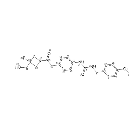 COc1ccc(CNC(=O)Nc2ccc(CC(=O)N3CC(F)(CO)C3)cc2)cc1